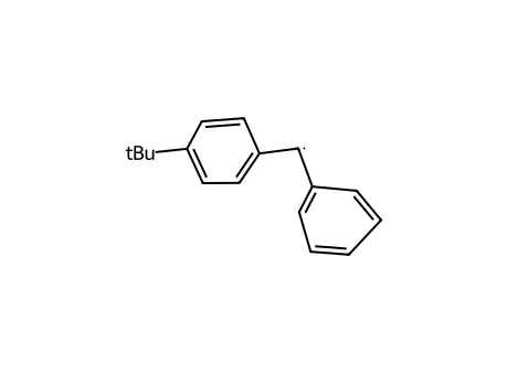 CC(C)(C)c1ccc([CH]c2ccccc2)cc1